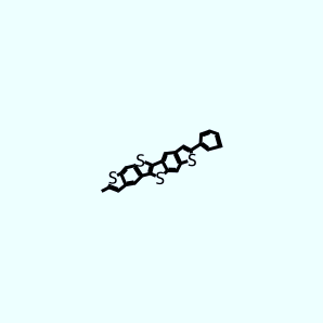 Cc1cc2cc3c(cc2s1)sc1c2cc4cc(-c5ccccc5)sc4cc2sc31